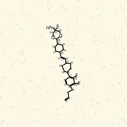 C=CCCc1ccc(C2CCC(/C=C/C3CCC(C4OCC(F)(CCC)CO4)CC3)CC2)c(F)c1F